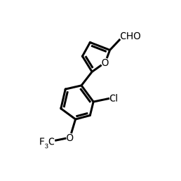 O=Cc1ccc(-c2ccc(OC(F)(F)F)cc2Cl)o1